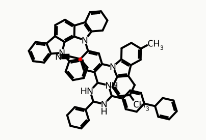 CC1=Cc2c3c(n(-c4cc(-n5c6c(c7ccc8c9ccccc9n(-c9ccccc9)c8c75)C=CCC6)c(C#N)cc4C4NC(C5=CCCC=C5)NC(C5=CCC(C6C=CC=CC6)C=C5)N4)c2CC1)C=CC(C)C3